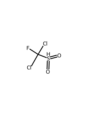 O=[SH](=O)C(F)(Cl)Cl